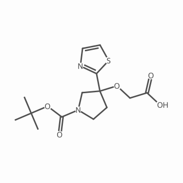 CC(C)(C)OC(=O)N1CCC(OCC(=O)O)(c2nccs2)C1